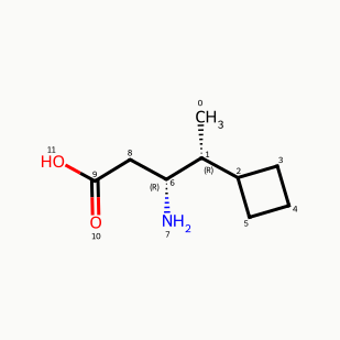 C[C@H](C1CCC1)[C@H](N)CC(=O)O